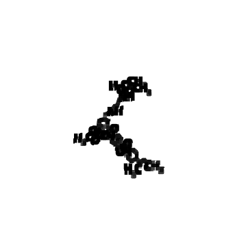 CCC(C)C1CCN(S(=O)(=O)c2ccc(NC(=O)c3cc(CNCCCNC(=O)OC(C)(C)C)ccc3N(C)S(C)(=O)=O)cc2)CC1